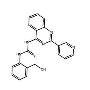 O=C(Nc1ccccc1CO)Nc1nc(-c2cccnc2)nc2ccccc12